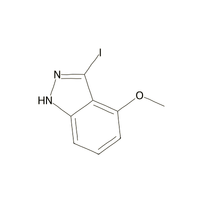 COc1cccc2[nH]nc(I)c12